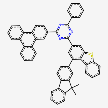 CC1(C)c2ccccc2-c2ccc(-c3cc(-c4nc(-c5ccccc5)nc(-c5ccc6c7ccccc7c7ccccc7c6c5)n4)cc4sc5ccccc5c34)cc21